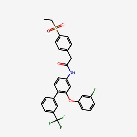 CCS(=O)(=O)c1ccc(CC(=O)Nc2ccc(-c3cccc(C(F)(F)F)c3)c(Oc3cccc(F)c3)c2)cc1